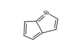 [C]1=[CH][Sb]=[C]2C=CC=C12